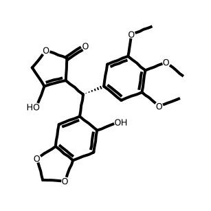 COc1cc([C@@H](C2=C(O)COC2=O)c2cc3c(cc2O)OCO3)cc(OC)c1OC